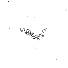 CC(C)OC(=O)OCn1ccc2c(S(=O)(=O)N3CCC(N)C34CC4)cccc2c1=O